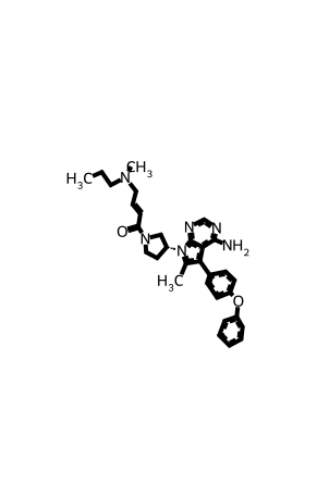 CCCN(C)C/C=C/C(=O)N1CC[C@@H](n2c(C)c(-c3ccc(Oc4ccccc4)cc3)c3c(N)ncnc32)C1